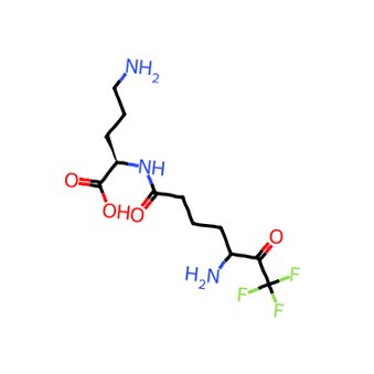 NCCC[C@@H](NC(=O)CCCC(N)C(=O)C(F)(F)F)C(=O)O